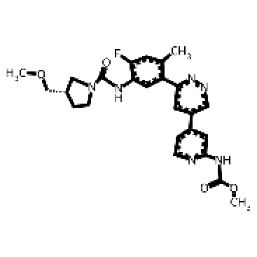 COC[C@H]1CCN(C(=O)Nc2cc(-c3cc(-c4ccnc(NC(=O)OC)c4)cnn3)c(C)cc2F)C1